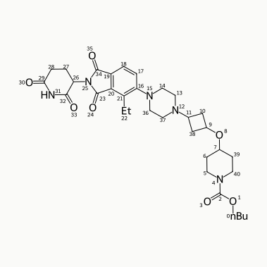 CCCCOC(=O)N1CCC(OC2CC(N3CCN(c4ccc5c(c4CC)C(=O)N(C4CCC(=O)NC4=O)C5=O)CC3)C2)CC1